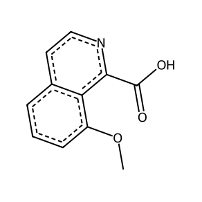 COc1cccc2ccnc(C(=O)O)c12